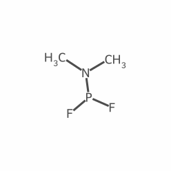 CN(C)P(F)F